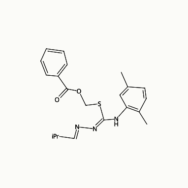 Cc1ccc(C)c(N/C(=N/N=C/C(C)C)SCOC(=O)c2ccccc2)c1